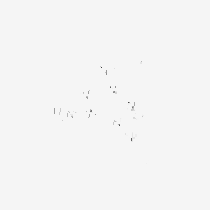 CN(c1ccccc1)c1nc(N)nc(-c2noc(N3CCCC3)n2)n1